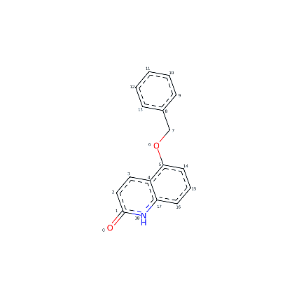 O=c1ccc2c(OCc3ccccc3)cccc2[nH]1